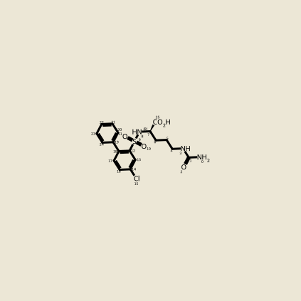 NC(=O)NCCC[C@@H](NS(=O)(=O)c1cc(Cl)ccc1-c1ccccc1)C(=O)O